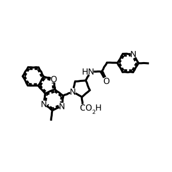 Cc1ccc(CC(=O)NC2CC(C(=O)O)N(c3nc(C)nc4c3oc3ccccc34)C2)cn1